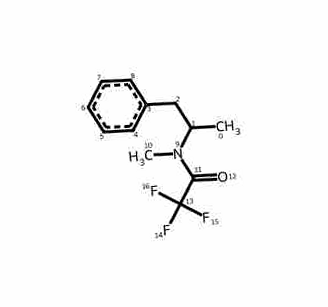 CC(Cc1ccccc1)N(C)C(=O)C(F)(F)F